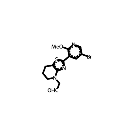 COc1ncc(Br)cc1-c1nc2c(s1)CCCN2CC=O